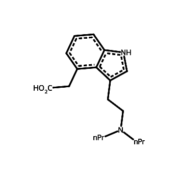 CCCN(CCC)CCc1c[nH]c2cccc(CC(=O)O)c12